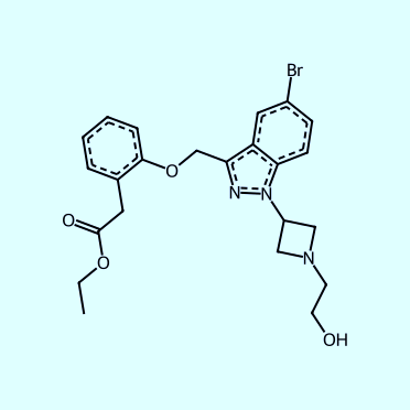 CCOC(=O)Cc1ccccc1OCc1nn(C2CN(CCO)C2)c2ccc(Br)cc12